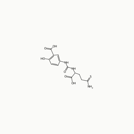 NC(=S)CCC(NC(=O)Nc1ccc(O)c(C(=O)O)c1)C(=O)O